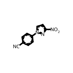 N#Cc1ccc(-n2ccc([N+](=O)[O-])n2)cc1